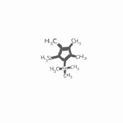 CC1=C(C)C([SiH3])[C]([Sn]([CH3])([CH3])[CH3])=C1C